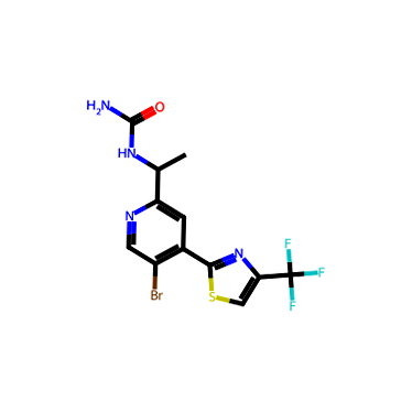 CC(NC(N)=O)c1cc(-c2nc(C(F)(F)F)cs2)c(Br)cn1